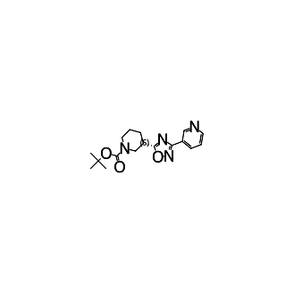 CC(C)(C)OC(=O)N1CCC[C@H](c2nc(-c3cccnc3)no2)C1